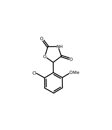 COc1cccc(Cl)c1C1OC(=O)NC1=O